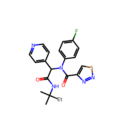 CCC(C)(C)NC(=O)C(c1ccncc1)N(C(=O)c1csnn1)c1ccc(F)cc1